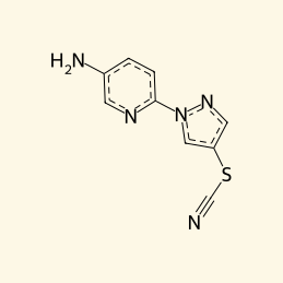 N#CSc1cnn(-c2ccc(N)cn2)c1